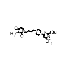 Cn1c(=O)ccn(CCCCN2CCN(c3cc(C(F)(F)F)nc(C(C)(C)C)n3)CC2)c1=O